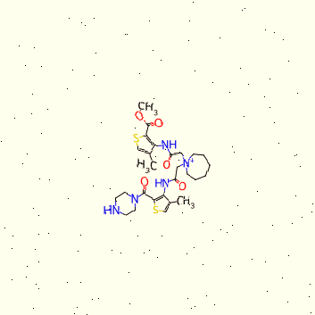 COC(=O)c1scc(C)c1NC(=O)C[N+]1(CC(=O)Nc2c(C)csc2C(=O)N2CCNCC2)CCCCCC1